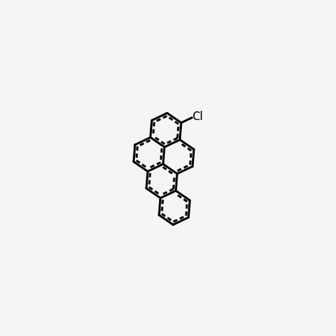 Clc1ccc2ccc3cc4ccccc4c4ccc1c2c34